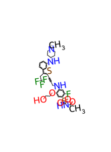 CC(=O)NS(=O)(=O)c1cc(OCCO)c(NCC#Cc2sc3c(NC4CCN(C)CC4)cccc3c2CC(F)(F)F)cc1F